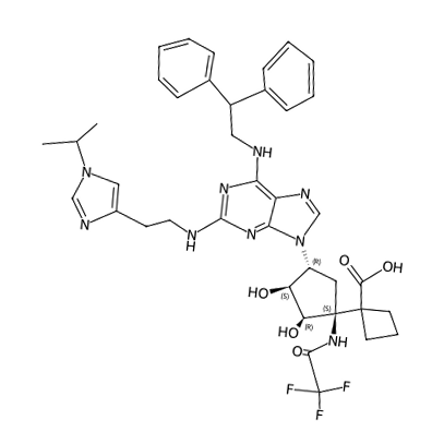 CC(C)n1cnc(CCNc2nc(NCC(c3ccccc3)c3ccccc3)c3ncn([C@@H]4C[C@](NC(=O)C(F)(F)F)(C5(C(=O)O)CCC5)[C@@H](O)[C@H]4O)c3n2)c1